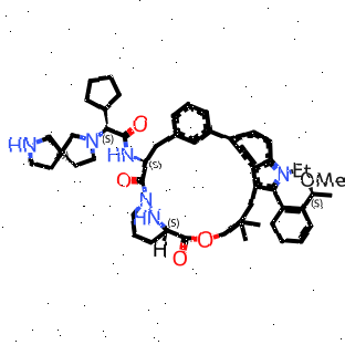 CCn1c(C2=C([C@H](C)OC)C=CCC2)c2c3cc(ccc31)-c1cccc(c1)C[C@H](NC(=O)[C@H](C1CCCC1)N1CC[C@]3(CCNC3)C1)C(=O)N1CCC[C@H](N1)C(=O)OCC(C)(C)C2